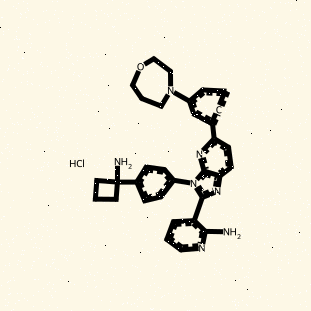 Cl.Nc1ncccc1-c1nc2ccc(-c3cccc(N4CCCOCC4)c3)nc2n1-c1ccc(C2(N)CCC2)cc1